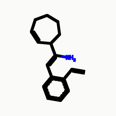 C=Cc1ccccc1/C=C(\N)C1C=CCCCC1